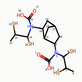 CC(S)C(S)N(C(=O)O)C1CC2C[C]1C(N(C(=O)O)C(S)C(C)S)C2